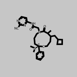 CC1C(=O)N(CC(=O)Nc2ccnc(C#N)n2)CCC[C@](c2ccccc2)(N(C)C)CCCC1CC1CCC1